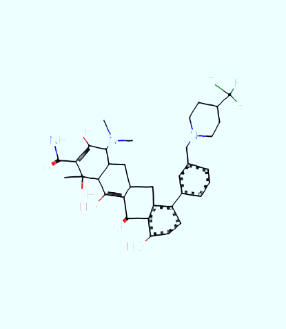 CN(C)C1C(O)=C(C(N)=O)C(C)(O)C2C(O)=C3C(=O)c4c(O)ccc(-c5cccc(CN6CCC(C(F)(F)F)CC6)c5)c4CC3CC12